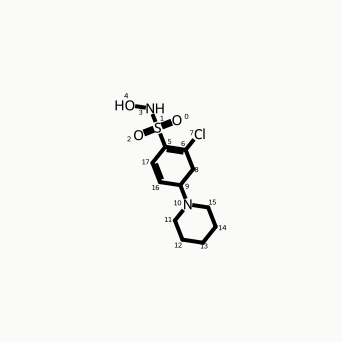 O=S(=O)(NO)C1=C(Cl)CC(N2CCCCC2)C=C1